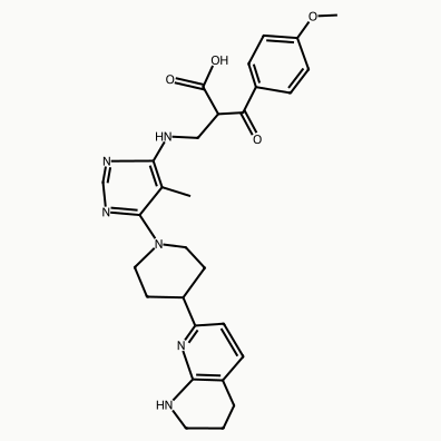 COc1ccc(C(=O)C(CNc2ncnc(N3CCC(c4ccc5c(n4)NCCC5)CC3)c2C)C(=O)O)cc1